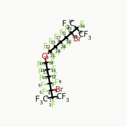 FC(F)(F)C(F)(C(F)(F)F)C(F)(Br)C(F)(F)C(F)(F)C(F)(F)C(F)(F)OC(F)(F)C(F)(F)C(F)(F)C(F)(F)C(F)(Br)C(F)(C(F)(F)F)C(F)(F)F